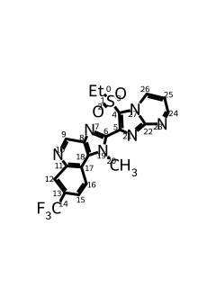 CCS(=O)(=O)c1c(-c2nc3cnc4cc(C(F)(F)F)ccc4c3n2C)nc2ncccn12